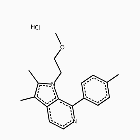 COCCn1c(C)c(C)c2ccnc(-c3ccc(C)cc3)c21.Cl